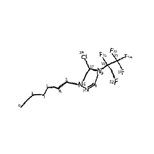 CCCCCCN1N=CN(C(F)(F)C(F)(F)F)C1Cl